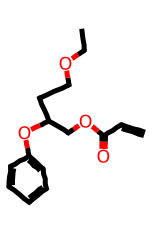 C=CC(=O)OCC(CCOCC)Oc1ccccc1